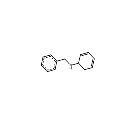 C1=CCC(NCc2ccccc2)C=C1